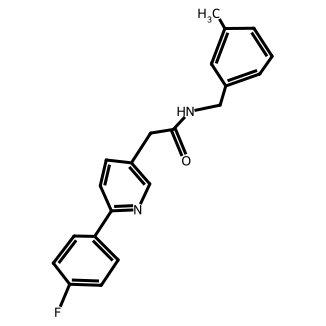 Cc1cccc(CNC(=O)Cc2ccc(-c3ccc(F)cc3)nc2)c1